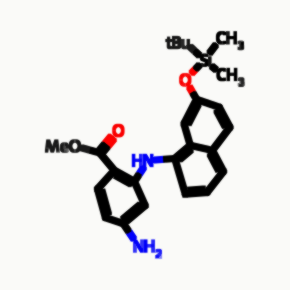 COC(=O)c1ccc(N)cc1Nc1cccc2ccc(O[Si](C)(C)C(C)(C)C)cc12